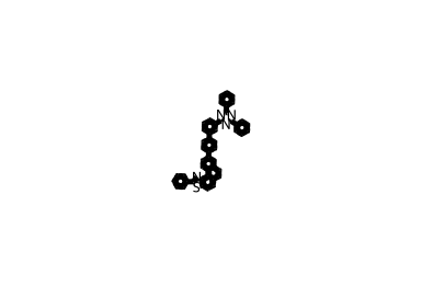 c1ccc(-c2nc(-c3ccccc3)nc(-c3cccc(-c4ccc(-c5ccc6c(ccc7ccc8sc(-c9ccccc9)nc8c76)c5)cc4)c3)n2)cc1